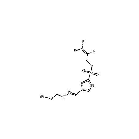 CC(C)CCON=Cc1cnc(S(=O)(=O)CCC(F)=C(F)F)s1